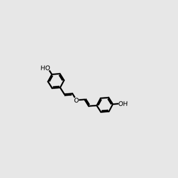 Oc1ccc(C=COC=Cc2ccc(O)cc2)cc1